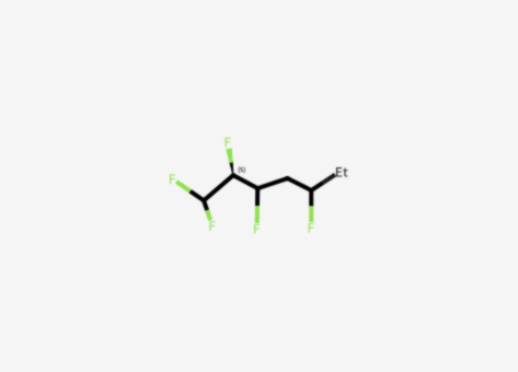 [CH2]CC(F)CC(F)[C@H](F)C(F)F